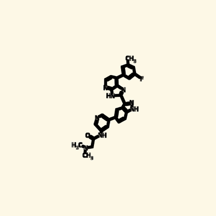 Cc1cc(F)cc(-c2ccnc3[nH]c(-c4n[nH]c5ccc(-c6cncc(NC(=O)CN(C)C)c6)cc45)nc23)c1